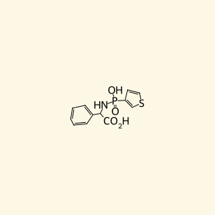 O=C(O)C(NP(=O)(O)c1ccsc1)c1ccccc1